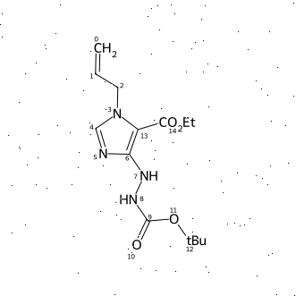 C=CCn1cnc(NNC(=O)OC(C)(C)C)c1C(=O)OCC